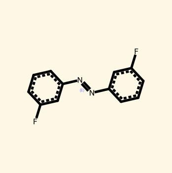 Fc1cccc(/N=N/c2cccc(F)c2)c1